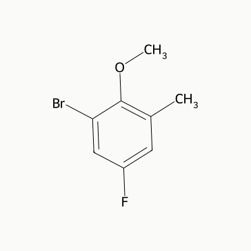 COc1c(C)cc(F)cc1Br